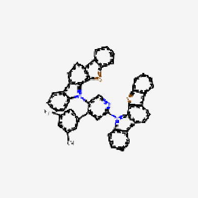 N#Cc1cc(-c2cc(-n3c4ccccc4c4ccc5c6ccccc6sc5c43)ncc2-n2c3ccccc3c3ccc4c5ccccc5sc4c32)cc(C(F)(F)F)c1